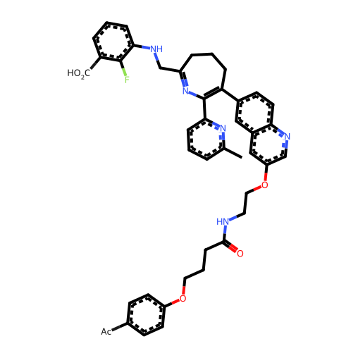 CC(=O)c1ccc(OCCCC(=O)NCCOc2cnc3ccc(C4=C(c5cccc(C)n5)N=C(CNc5cccc(C(=O)O)c5F)CCC4)cc3c2)cc1